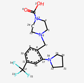 O=C(O)N1CCN(Cc2ccc(C(F)(F)F)cc2N2CCCC2)CC1